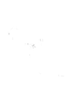 CC/C=C\C/C=C\C/C=C\CCCCCCCC(=O)O[C@H](COC(=O)CCCCCCCCC/C=C\CCCCCCCCCC)COP(=O)(O)OC[C@@H](O)CO